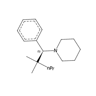 CCCC(C)(C)[C@@H](c1ccccc1)N1CCCCC1